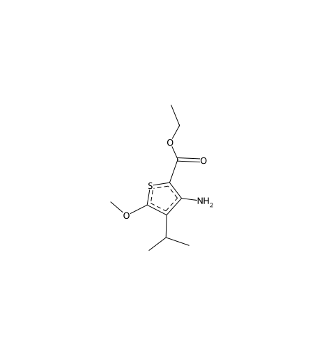 CCOC(=O)c1sc(OC)c(C(C)C)c1N